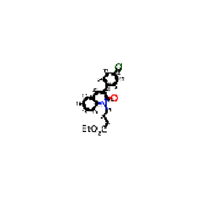 CCOC(=O)CCCn1c(=O)c(-c2ccc(Cl)cc2)cc2ccccc21